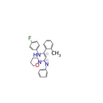 Cc1ccccc1/C(=C/C(=N/c1ccccc1)N1CCCCO1)Nc1ccc(F)cc1